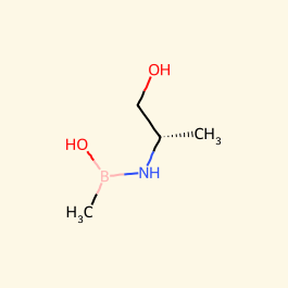 CB(O)N[C@@H](C)CO